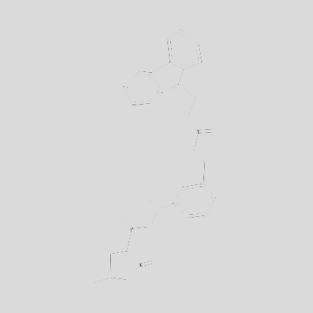 CN1CC(=O)C(C(=O)OB(O)c2cccc(CNC(=O)OCC3c4ccccc4-c4ccccc43)c2)C1